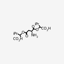 CC(C)C(OC(=O)C[C@H](N)C(=O)OC(C(=O)O)C(C)C)C(=O)O